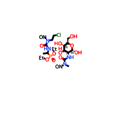 CCOP(=O)(OCC)C(C)NC(=O)N(CCCl)N=O.CN(N=O)C(=O)N[C@@H]1[C@@H](O)[C@H](O)[C@@H](CO)O[C@@H]1O